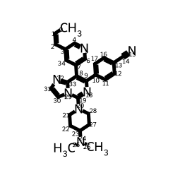 C/C=C\c1cncc(-c2c(-c3ccc(C#N)cc3)nc(N3CCC(N(C)C)CC3)n3ccnc23)c1